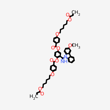 C=CC(=O)OCCCCCCOc1ccc(C(=O)Oc2ccc(OC(=O)c3ccc(OCCCCCCOC(=O)C=C)cc3)c(C(=N)n3c4ccccc4c4cc(OC)ccc43)c2)cc1